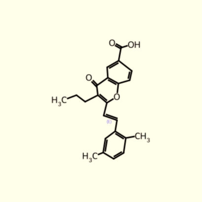 CCCc1c(/C=C/c2cc(C)ccc2C)oc2ccc(C(=O)O)cc2c1=O